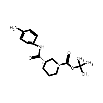 CC(C)(C)OC(=O)N1CCC[C@H](C(=O)Nc2ccc(N)cc2)C1